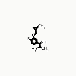 CC(C)C(=N)c1ccc(F)c(OCC2CC2C)c1